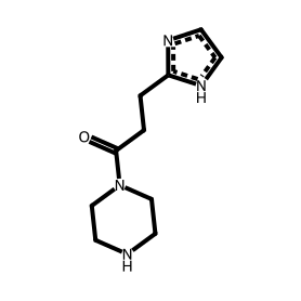 O=C(CCc1ncc[nH]1)N1CCNCC1